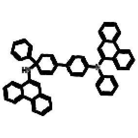 C1=CC(Nc2cc3ccccc3c3ccccc23)(c2ccccc2)CC=C1c1ccc(N(c2ccccc2)c2cc3ccccc3c3ccccc23)cc1